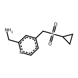 NCc1cc(CS(=O)(=O)C2CC2)ccn1